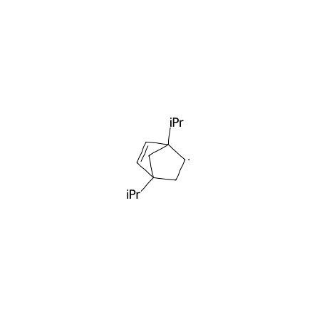 CC(C)C12[CH]CC(C(C)C)(C=C1)C2